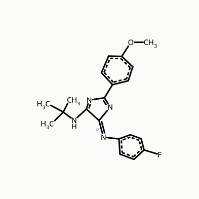 COc1ccc(C2=N/C(=N\c3ccc(F)cc3)C(NC(C)(C)C)=N2)cc1